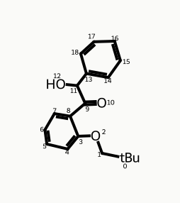 CC(C)(C)COc1ccccc1C(=O)C(O)c1ccccc1